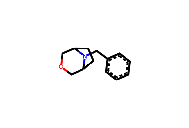 c1ccc(CN2C3CCC2COC3)cc1